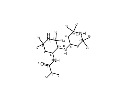 CC(C)C(=O)NC1CC(C)(C)NC(C)(C)C1NC1CC(C)(C)NC(C)(C)C1